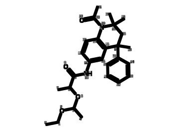 CCOC(C)OC(C)C(=O)Nc1ccc2c(c1)C(C)(c1ccccc1)CC(C)(C)N2C(C)=O